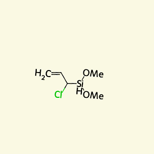 C=CC(Cl)[SiH](OC)OC